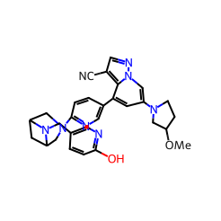 COC1CCN(c2cc(-c3ccc(N4CC5CC(C4)N5Cc4ccc(O)nc4)nc3)c3c(C#N)cnn3c2)C1